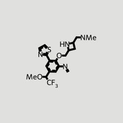 C=Nc1cc(C(OC)C(F)(F)F)cc(-c2nccs2)c1OCC1CC(CNC)N1